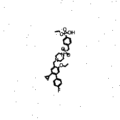 CCOc1cc(-c2ccc(F)cc2)c(C2CC2)cc1CN1CCN(S(=O)(=O)Cc2ccc(P(=O)(O)OCC)cc2)CC1